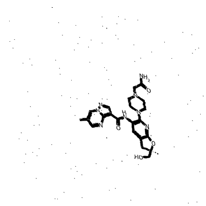 Cc1cnc2c(C(=O)Nc3cc4c(nc3N3CCN(CC(N)=O)CC3)O[C@@](C)(CO)C4)cnn2c1